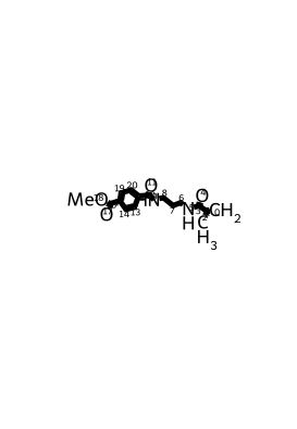 C=C(C)C(=O)NCCCNC(=O)c1ccc(C(=O)OC)cc1